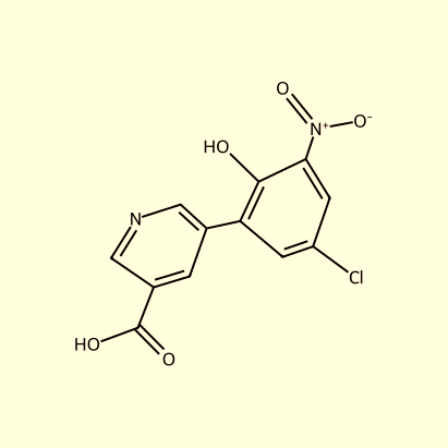 O=C(O)c1cncc(-c2cc(Cl)cc([N+](=O)[O-])c2O)c1